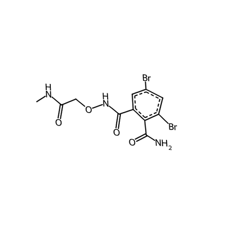 CNC(=O)CONC(=O)c1cc(Br)cc(Br)c1C(N)=O